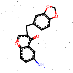 Nc1ccc2occ(Cc3ccc4c(c3)OCO4)c(=O)c2c1